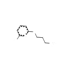 CCc1cccc(OCCCOC)n1